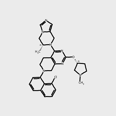 C[C@@H]1Cn2cncc2CN1c1nc(O[C@@H]2CCN(C)C2)nc2c1CCN(c1cccc3cccc(Cl)c13)C2